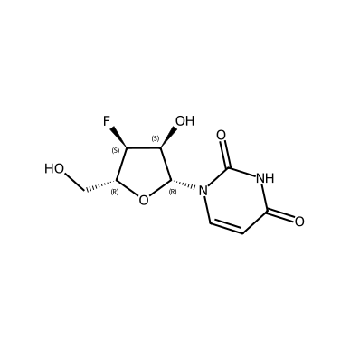 O=c1ccn([C@@H]2O[C@H](CO)[C@@H](F)[C@H]2O)c(=O)[nH]1